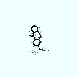 CC(C(=O)O)c1ccc2c(c1)CCc1ccccc1C2=O